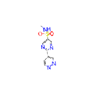 CNS(=O)(=O)c1cnc(-c2ccnnc2)nc1